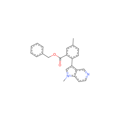 Cc1ccc(-c2cn(C)c3ccncc23)c(C(=O)OCc2ccccc2)c1